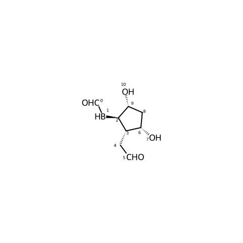 O=CB[C@@H]1[C@@H](CC=O)[C@@H](O)C[C@H]1O